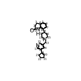 O=C1CCc2cccc(C3CCN(Cc4cncc(C5=CCCC5)c4)CC3)c2N1